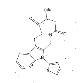 CCCCN1CC(=O)N2Cc3c(c4ccccc4n3-c3cccs3)CC2C1=O